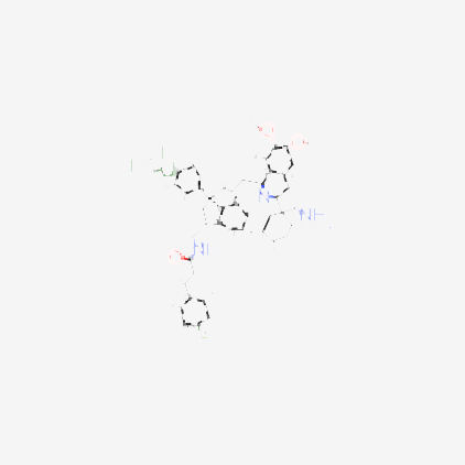 COc1cc2cc(C3(CN)C=CCCC3)nc(CCCC(CCCNC(=O)CCc3ccc(F)cc3)(c3ccccc3)c3ccccc3)c2cc1OC.Cl.Cl